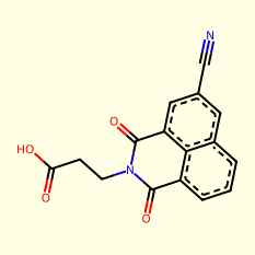 N#Cc1cc2c3c(cccc3c1)C(=O)N(CCC(=O)O)C2=O